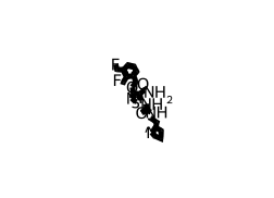 CN1CCCC1CCNC(=O)Nc1snc(OCc2cccc(CF)c2CF)c1C(N)=O